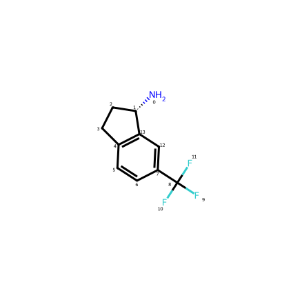 N[C@H]1CCc2ccc(C(F)(F)F)cc21